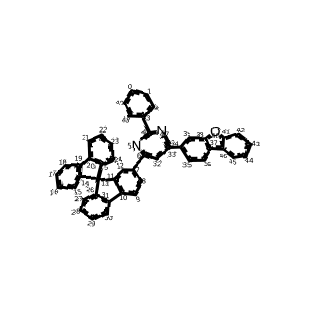 c1ccc(-c2nc(-c3ccc4c(c3)C3(c5ccccc5-c5ccccc53)c3ccccc3-4)cc(-c3ccc4c(c3)oc3ccccc34)n2)cc1